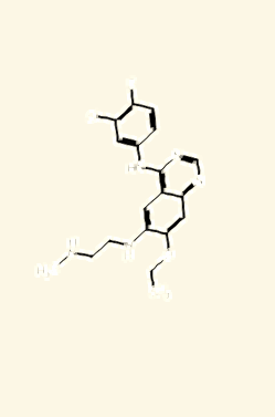 CCOc1cc2ncnc(Nc3ccc(F)c(Cl)c3)c2cc1NCCNC